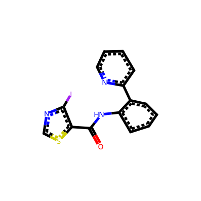 O=C(Nc1ccccc1-c1ccccn1)c1scnc1I